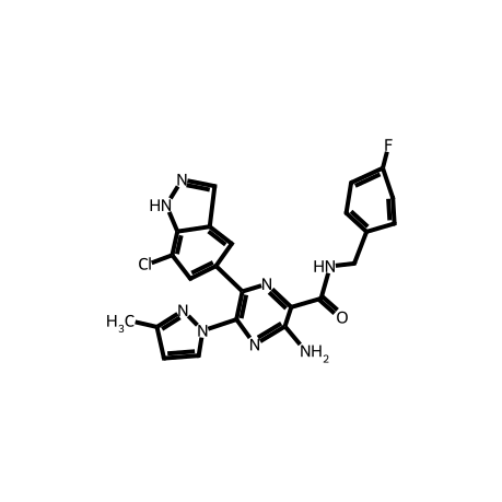 Cc1ccn(-c2nc(N)c(C(=O)NCc3ccc(F)cc3)nc2-c2cc(Cl)c3[nH]ncc3c2)n1